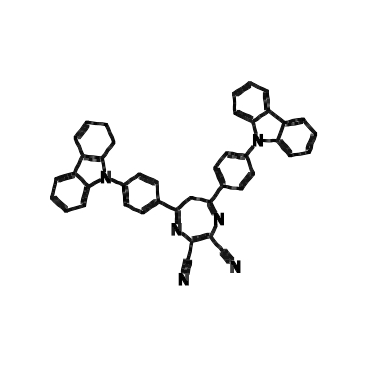 N#CC1=C(C#N)N=C(c2ccc(-n3c4ccccc4c4ccccc43)cc2)CC(c2ccc(-n3c4c(c5ccccc53)C=CCC4)cc2)=N1